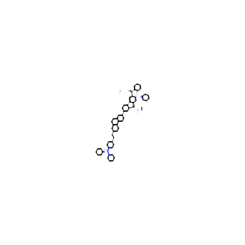 CC1(C)c2cc(-c3ccc4c(ccc5cc(/C=C/c6ccc(N(c7ccccc7)c7ccccc7)cc6)ccc54)c3)ccc2-c2cc3c(cc21)N(c1ccccc1)c1ccccc1C3(C)C